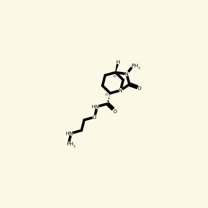 O=C(NOCCNP)[C@@H]1CC[C@H]2CN1C(=O)N2P